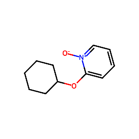 [O-][n+]1ccccc1OC1CCCCC1